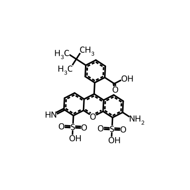 CC(C)(C)c1ccc(C(=O)O)c(-c2c3ccc(=N)c(S(=O)(=O)O)c-3oc3c(S(=O)(=O)O)c(N)ccc23)c1